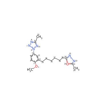 COc1ccc(-n2nnc(C)n2)cc1CCCCCCc1nnc(C)o1